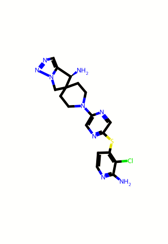 Nc1nccc(Sc2cnc(N3CCC4(CC3)Cn3nncc3[C@H]4N)cn2)c1Cl